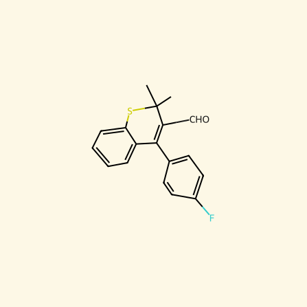 CC1(C)Sc2ccccc2C(c2ccc(F)cc2)=C1C=O